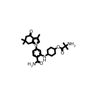 Cc1cn(-c2ccc(C(N)=O)c(NC3CCC(OC(=O)C(C)(C)N)CC3)c2)c2c1C(=O)CC(C)(C)C2